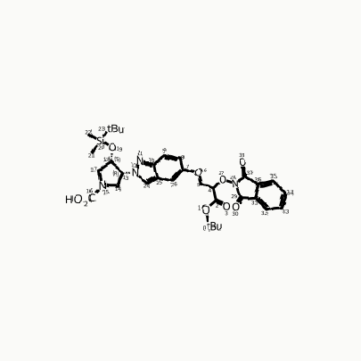 CC(C)(C)OC(=O)C(COc1ccc2nn([C@@H]3CN(C(=O)O)C[C@@H]3O[Si](C)(C)C(C)(C)C)cc2c1)ON1C(=O)c2ccccc2C1=O